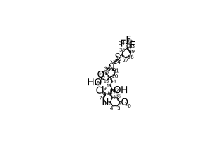 COc1ccc2ncc(Cl)c([C@H](O)CCC3(CC(=O)O)CCN(CCSc4cccc(C(F)(F)F)c4)CC3)c2c1